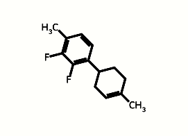 CC1=CCC(c2ccc(C)c(F)c2F)CC1